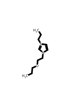 CCCOCCn1cc[n+](CCC)c1